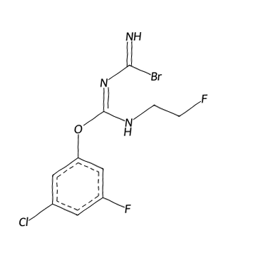 N=C(Br)/N=C(\NCCF)Oc1cc(F)cc(Cl)c1